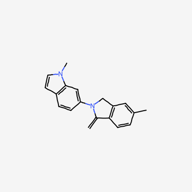 C=C1c2ccc(C)cc2CN1c1ccc2ccn(C)c2c1